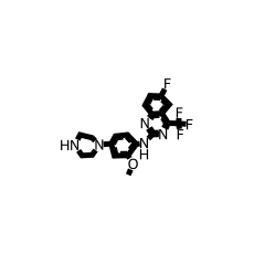 COc1cc(N2CCNCC2)ccc1Nc1nc(C(F)(F)F)c2cc(F)ccc2n1